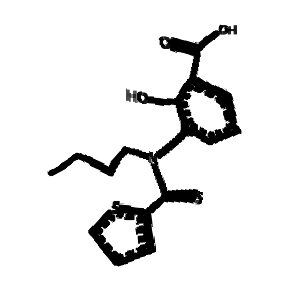 CCCCN(C(=S)c1cccs1)c1cccc(C(=O)O)c1O